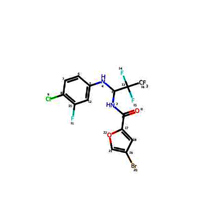 O=C(NC(Nc1ccc(Cl)c(F)c1)C(F)(F)C(F)(F)F)c1cc(Br)co1